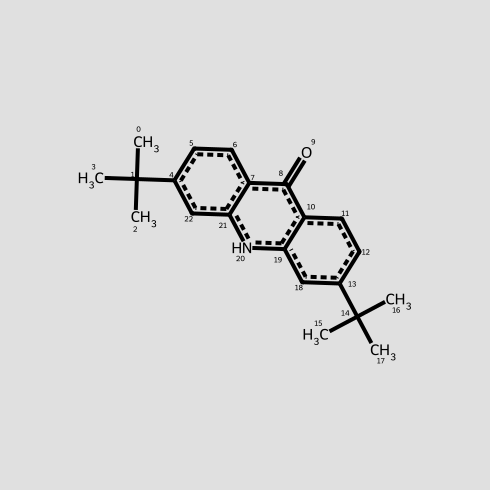 CC(C)(C)c1ccc2c(=O)c3ccc(C(C)(C)C)cc3[nH]c2c1